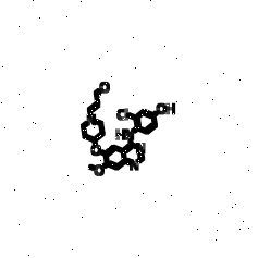 COc1cc2ncnc(Nc3ccc(O)cc3Cl)c2cc1OC1CCN(C=CC=O)CC1